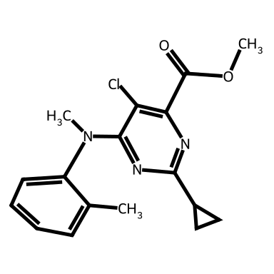 COC(=O)c1nc(C2CC2)nc(N(C)c2ccccc2C)c1Cl